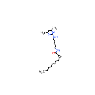 CCCCCCCCC1CC1C(=O)NCCCCCNc1nc(C)cc(C)n1